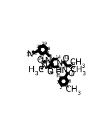 Cc1ccc(F)c(C(=O)N[C@@H](C(=O)N2CCC3(CC2)C(=O)N(C)C(=O)N3Cc2cccc(C#N)c2)C(C)C)c1